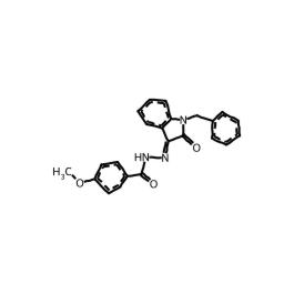 COc1ccc(C(=O)N/N=C2/C(=O)N(Cc3ccccc3)c3ccccc32)cc1